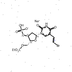 CCOC(=O)OC[C@H]1O[C@@H](n2cc(/C=C/Br)c(=O)[nH]c2=O)C[C@@H]1OP(=O)([O-])O.[Na+]